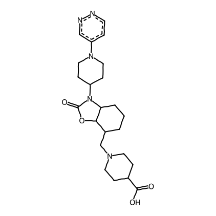 O=C(O)C1CCN(CC2CCCC3C2OC(=O)N3C2CCN(c3ccnnc3)CC2)CC1